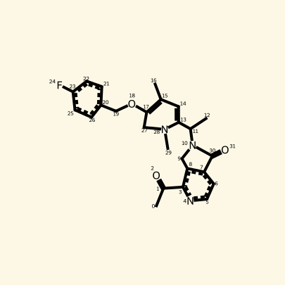 CC(=O)c1nccc2c1CN(C(C)C1=CC(C)=C(OCc3ccc(F)cc3)CN1C)C2=O